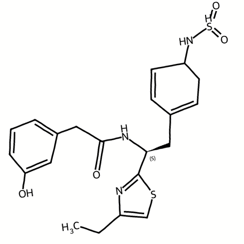 CCc1csc([C@H](CC2=CCC(N[SH](=O)=O)C=C2)NC(=O)Cc2cccc(O)c2)n1